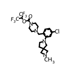 CN1CC2(CCN(c3cc(Cl)ccc3CN3CCN(C(=O)OC(C(F)(F)F)C(F)(F)F)CC3)C2)C1